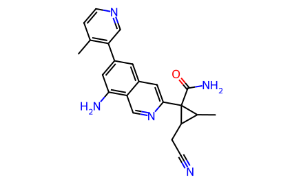 Cc1ccncc1-c1cc(N)c2cnc(C3(C(N)=O)C(C)C3CC#N)cc2c1